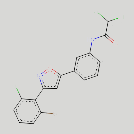 O=C(Nc1cccc(-c2cc(-c3c(Cl)cccc3Br)no2)c1)C(Cl)Cl